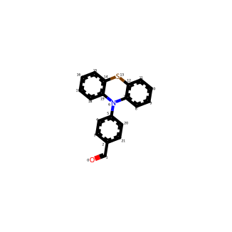 O=Cc1ccc(N2c3ccccc3Sc3ccccc32)cc1